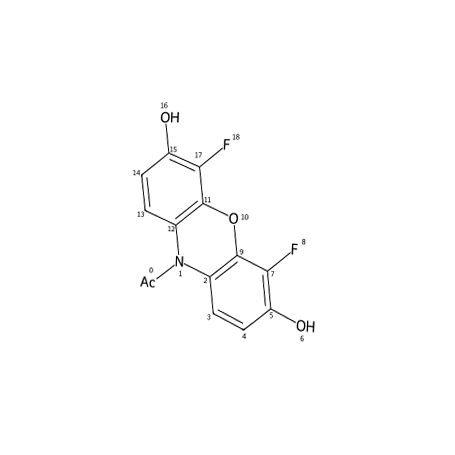 CC(=O)N1c2ccc(O)c(F)c2Oc2c1ccc(O)c2F